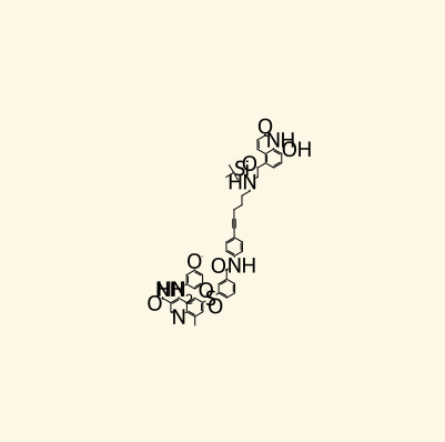 COc1cccc(Nc2c(C(N)=O)cnc3c(C)cc(S(=O)(=O)c4cccc(C(=O)Nc5ccc(C#CCCCCNCC(O[Si](C)(C)C(C)(C)C)c6ccc(O)c7[nH]c(=O)ccc67)cc5)c4)cc23)c1